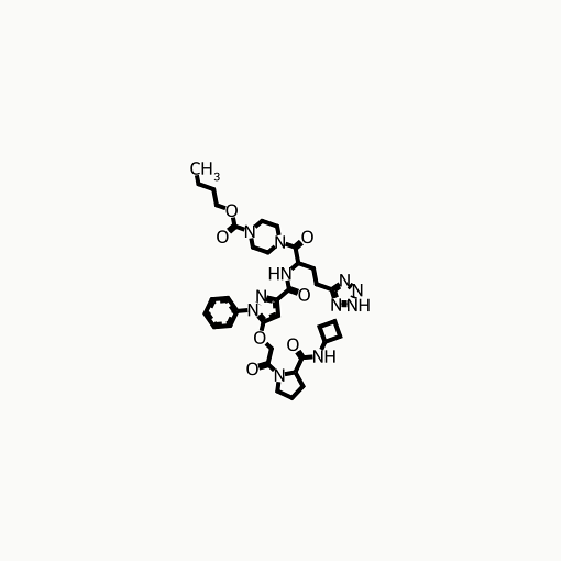 CCCCOC(=O)N1CCN(C(=O)C(CCc2nn[nH]n2)NC(=O)c2cc(OCC(=O)N3CCCC3C(=O)NC3CCC3)n(-c3ccccc3)n2)CC1